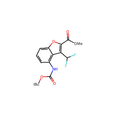 COC(=O)c1oc2cccc(NC(=O)OC(C)(C)C)c2c1C(F)F